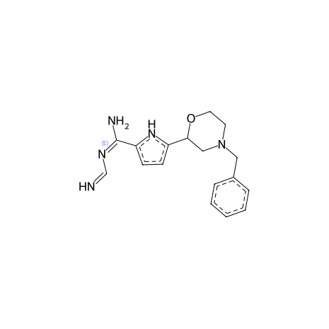 N=C/N=C(/N)c1ccc(C2CN(Cc3ccccc3)CCO2)[nH]1